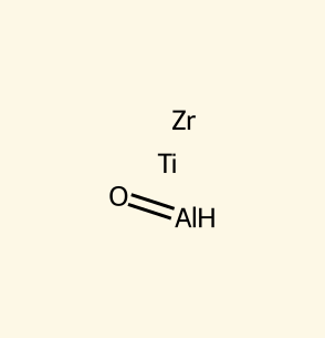 [O]=[AlH].[Ti].[Zr]